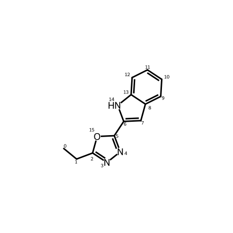 CCc1nnc(-c2cc3ccccc3[nH]2)o1